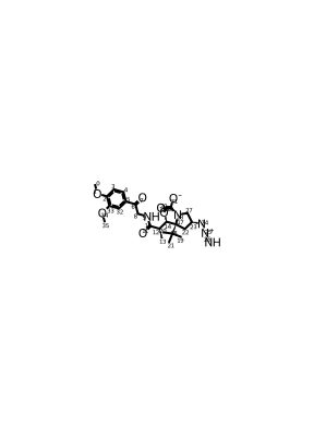 COc1ccc(C(=O)CNC(=O)[C@H](C)[C@@H](OC)[C@@]2(C(C)(C)C)C[C@H](N=[N+]=N)CN2C(=O)[O-])cc1OC